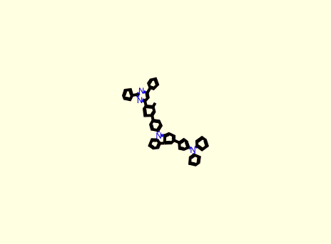 Cc1cc(-c2ccc(-n3c4ccccc4c4cc(-c5ccc(N(c6ccccc6)c6ccccc6)cc5)ccc43)cc2)ccc1-c1cc(-c2ccccc2)nc(-c2ccccc2)n1